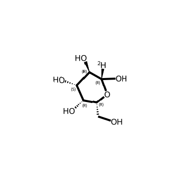 [2H][C@@]1(O)O[C@H](CO)[C@H](O)[C@H](O)[C@H]1O